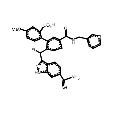 CCC(c1ccc(C(=O)NCc2cccnc2)cc1-c1ccc(OC)cc1C(=O)O)c1n[nH]c2cc(C(=N)N)ccc12